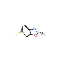 CC1=NC2=CC=C(F)CC2O1